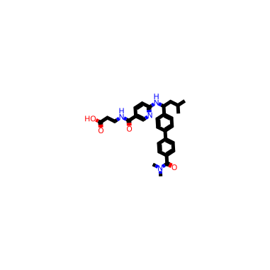 CC(C)CC(Nc1ccc(C(=O)NCCC(=O)O)cn1)c1ccc(-c2ccc(C(=O)N(C)C)cc2)cc1